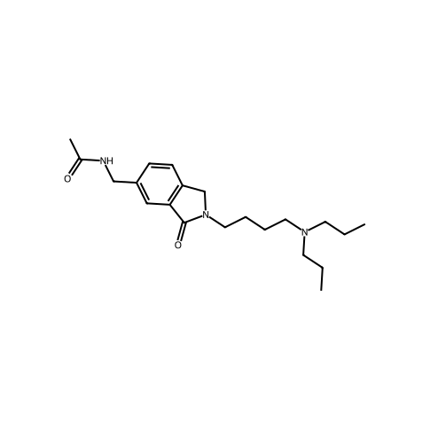 CCCN(CCC)CCCCN1Cc2ccc(CNC(C)=O)cc2C1=O